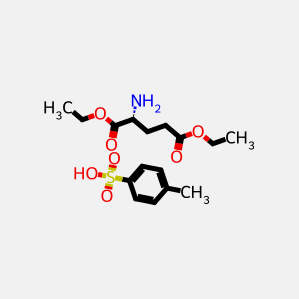 CCOC(=O)CC[C@@H](N)C(=O)OCC.Cc1ccc(S(=O)(=O)O)cc1